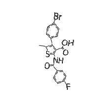 Cc1sc(NC(=O)c2ccc(F)cc2)c(C(=O)O)c1-c1ccc(Br)cc1